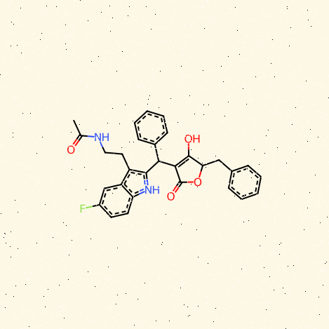 CC(=O)NCCc1c(C(C2=C(O)C(Cc3ccccc3)OC2=O)c2ccccc2)[nH]c2ccc(F)cc12